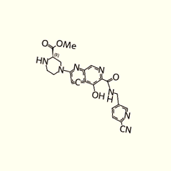 COC(=O)[C@H]1CN(c2ccc3c(O)c(C(=O)NCc4ccc(C#N)nc4)ncc3n2)CCN1